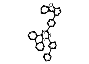 c1ccc(-c2cccc(-c3nc(-c4ccc(-c5cccc6oc7ccccc7c56)cc4)nc(-c4ccccc4-c4ccccc4)n3)c2)cc1